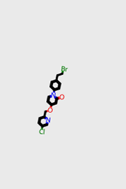 O=c1cc(OCc2ccc(Cl)cn2)ccn1-c1ccc(CCBr)cc1